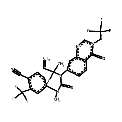 C=CC(C)(C)N(C(=S)N(C)c1ccc(C#N)c(C(F)(F)F)c1)c1ccc2c(=O)n(CC(F)(F)F)cnc2c1